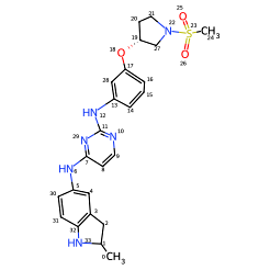 CC1Cc2cc(Nc3ccnc(Nc4cccc(O[C@@H]5CCN(S(C)(=O)=O)C5)c4)n3)ccc2N1